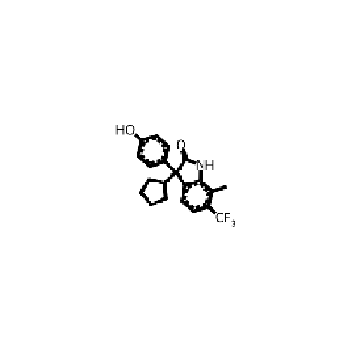 Cc1c(C(F)(F)F)ccc2c1NC(=O)C2(c1ccc(O)cc1)C1CCCC1